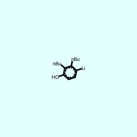 [Li][c]1ccc(O)c(CCCC)c1CCCC